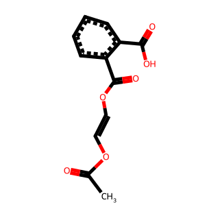 CC(=O)OC=COC(=O)c1ccccc1C(=O)O